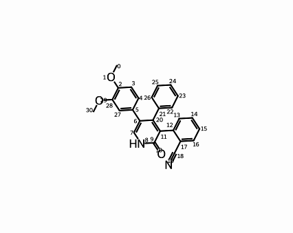 COc1ccc(-c2c[nH]c(=O)c(-c3ccccc3C#N)c2-c2ccccc2)cc1OC